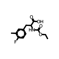 CCOC(=O)NC(Cc1ccc(F)c(C)c1)C(=O)O